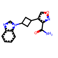 NC(=O)c1nocc1C1CC(n2cnc3ccccc32)C1